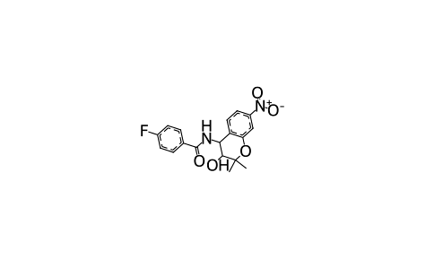 CC1(C)Oc2cc([N+](=O)[O-])ccc2C(NC(=O)c2ccc(F)cc2)C1O